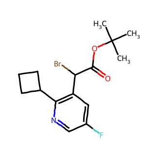 CC(C)(C)OC(=O)C(Br)c1cc(F)cnc1C1CCC1